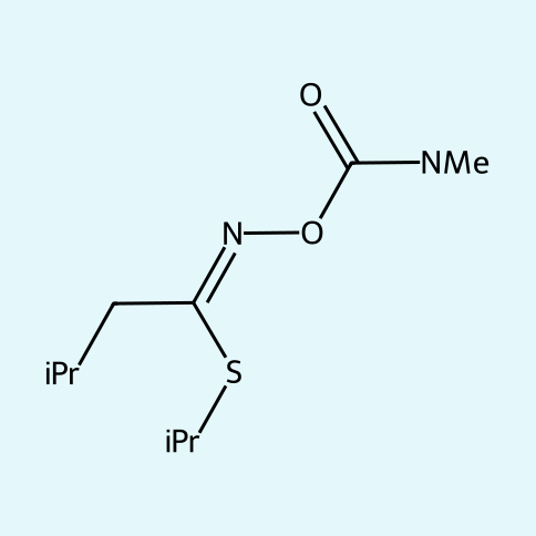 CNC(=O)ON=C(CC(C)C)SC(C)C